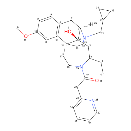 CCC1C[C@@]2(O)[C@H]3Cc4ccc(OC)cc4[C@]2(CCN1C(=O)Cc1ccccn1)CCN3CC1CC1